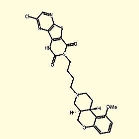 COc1cccc2c1[C@H]1CCN(CCCCn3c(=O)[nH]c4c(sc5ncc(Cl)nc54)c3=O)C[C@@H]1CO2